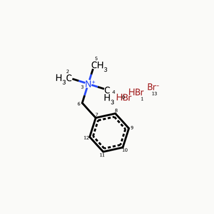 Br.Br.C[N+](C)(C)Cc1ccccc1.[Br-]